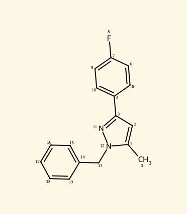 Cc1cc(-c2ccc(F)cc2)nn1Cc1ccccc1